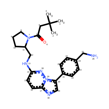 CC(C)(C)CC(=O)N1CCCC1CNc1ccc2ncc(-c3ccc(CN)cc3)n2n1